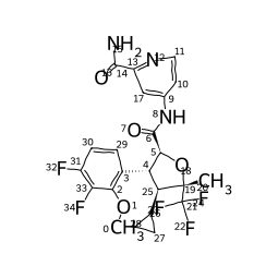 COc1c([C@@H]2[C@@H](C(=O)Nc3ccnc(C(N)=O)c3)O[C@](C)(C(F)(F)F)[C@H]2C2CC2)ccc(F)c1F